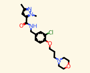 Cc1cc(C(=O)NCc2ccc(OCCCN3CCOCC3)c(Cl)c2)n(C)n1